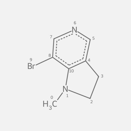 CN1CCc2cncc(Br)c21